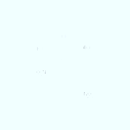 CCC(C)c1cc([N+](=O)[O-])cc([N+](=O)[O-])c1[C](C(F)(F)F)C(F)(F)F